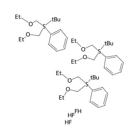 CCOCS(COCC)(c1ccccc1)C(C)(C)C.CCOCS(COCC)(c1ccccc1)C(C)(C)C.CCOCS(COCC)(c1ccccc1)C(C)(C)C.F.F.F